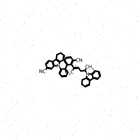 C/C(=C\CC(C)n1c2c(c3ccccc31)C=CCC2)c1c(C#N)cccc1-c1ccccc1-n1c2c(c3ccc(C#N)cc31)CCC=C2